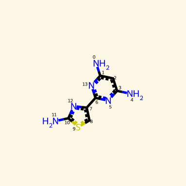 Nc1cc(N)nc(-c2csc(N)n2)n1